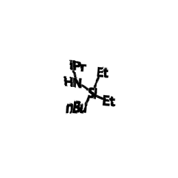 CCCC[Si](CC)(CC)NC(C)C